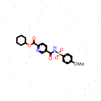 COc1ccc(S(=O)(=O)NC(=O)c2ccc(C(=O)OC3CCCCC3)nc2)cc1